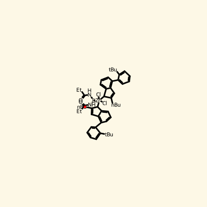 CCCCC1=Cc2c(-c3ccccc3C(C)(C)C)cccc2[CH]1[Zr]([Cl])([Cl])([B](NC(=O)CC)NC(=O)CC)[CH]1C(CCCC)=Cc2c(-c3ccccc3C(C)(C)C)cccc21